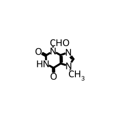 Cn1cnc2c1c(=O)[nH]c(=O)n2C=O